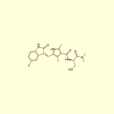 Cc1[nH]c(/C=C2\C(=O)Nc3ccc(F)cc32)c(C)c1C(=O)N[C@@H](C(=O)N(C)C)[C@H](C)O